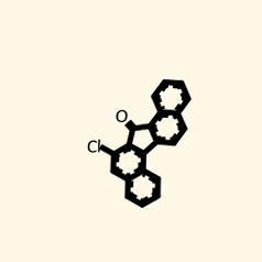 O=C1c2c(Cl)cc3ccccc3c2-c2ccc3ccccc3c21